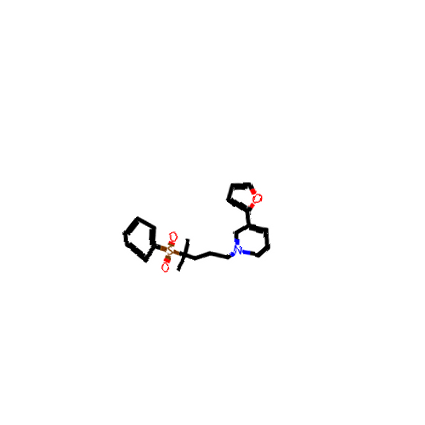 CC(C)(CCCN1CCC=C(c2ccco2)C1)S(=O)(=O)c1ccccc1